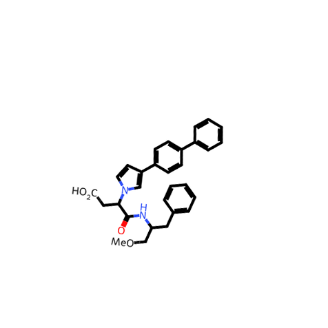 COCC(Cc1ccccc1)NC(=O)C(CC(=O)O)n1ccc(-c2ccc(-c3ccccc3)cc2)c1